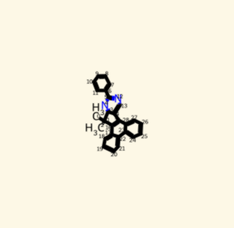 CC1(C)c2nc(-c3ccccc3)ncc2-c2c1c1ccccc1c1ccccc21